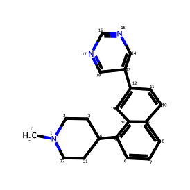 CN1CCC(c2cccc3ccc(-c4cncnc4)cc23)CC1